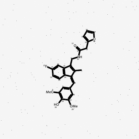 COc1cc(/C=C2/C(C)=C(CNC(=O)Cc3ccco3)c3cc(F)ccc32)cc(OC)c1O